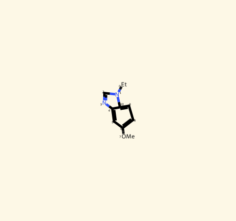 CCn1[c]nc2cc(OC)ccc21